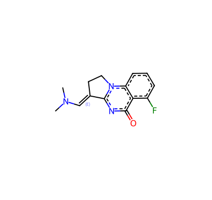 CN(C)/C=C1\CCn2c1nc(=O)c1c(F)cccc12